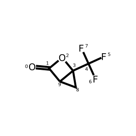 O=C1OC2(C(F)(F)F)CC12